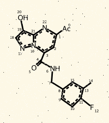 CC(=O)c1cc(C(=O)NCc2ccc(F)c(C)c2)n2ncc(O)c2n1